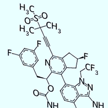 CC(C)(C#Cc1nc([C@H](Cc2cc(F)cc(F)c2)OC(N)=O)c(-c2ccc(Cl)c3c(N)nn(CC(F)(F)F)c23)c2c1C[C@@H](F)C2)S(C)(=O)=O